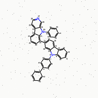 c1ccc(-c2ccc(-n3c4ccccc4c4ccc(-c5cccc6c7ccncc7n(-c7ccccc7)c56)cc43)cc2)cc1